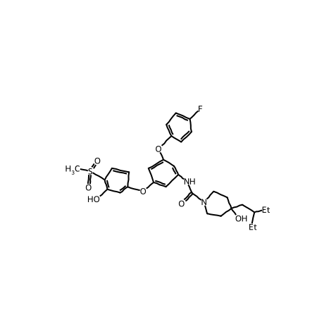 CCC(CC)CC1(O)CCN(C(=O)Nc2cc(Oc3ccc(F)cc3)cc(Oc3ccc(S(C)(=O)=O)c(O)c3)c2)CC1